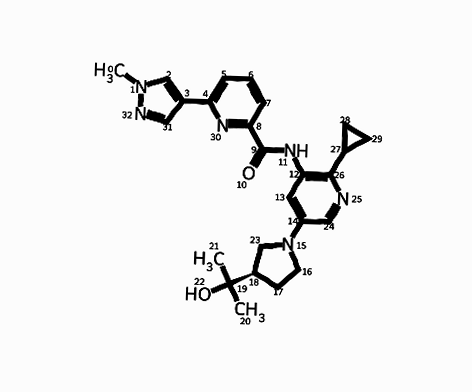 Cn1cc(-c2cccc(C(=O)Nc3cc(N4CC[C@@H](C(C)(C)O)C4)cnc3C3CC3)n2)cn1